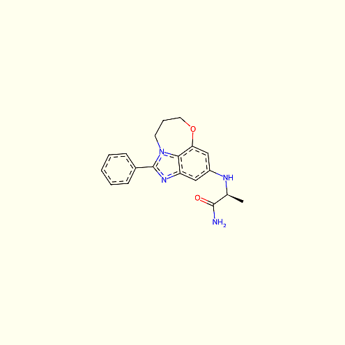 C[C@H](Nc1cc2c3c(c1)nc(-c1ccccc1)n3CCCO2)C(N)=O